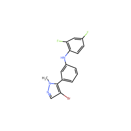 Cn1ncc(Br)c1-c1cccc(Nc2ccc(F)cc2F)c1